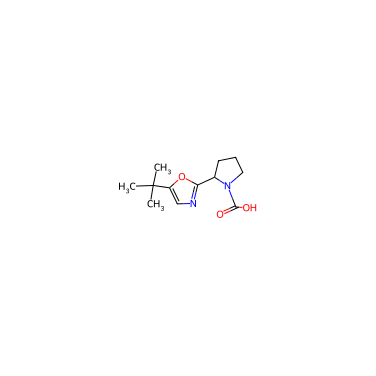 CC(C)(C)c1cnc(C2CCCN2C(=O)O)o1